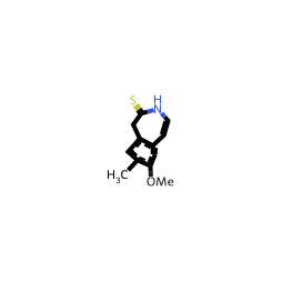 COc1cc2c(cc1C)CC(=S)NC=C2